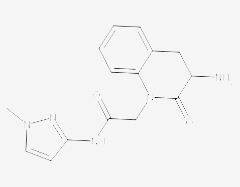 Cn1ccc(NC(=O)CN2C(=O)C(N)Cc3ccccc32)n1